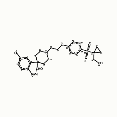 CNc1ccc(Cl)cc1C1(C=O)CCN(CCOc2ccc(S(=O)(=O)C3(CO)CC3)nc2)CC1